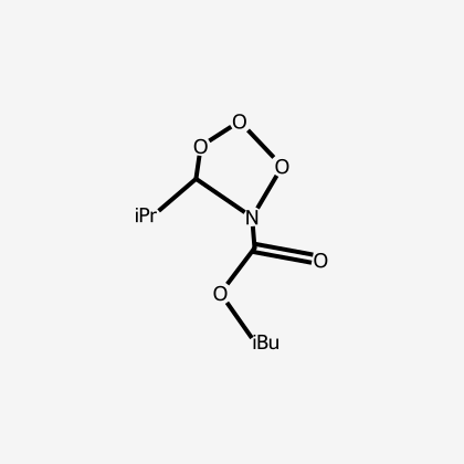 CCC(C)OC(=O)N1OOOC1C(C)C